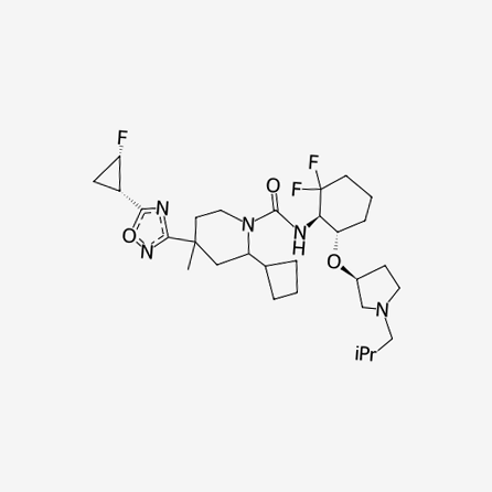 CC(C)CN1CC[C@H](O[C@H]2CCCC(F)(F)[C@@H]2NC(=O)N2CCC(C)(c3noc([C@@H]4C[C@@H]4F)n3)CC2C2CCC2)C1